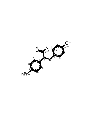 CCCc1ccc(C(Cc2ccc(O)cc2)C(N)=O)cc1